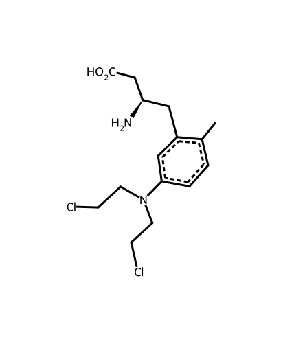 Cc1ccc(N(CCCl)CCCl)cc1C[C@@H](N)CC(=O)O